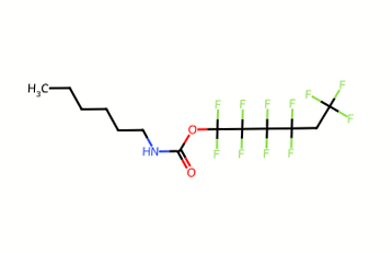 CCCCCCNC(=O)OC(F)(F)C(F)(F)C(F)(F)C(F)(F)CC(F)(F)F